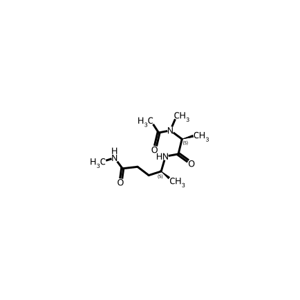 CNC(=O)CC[C@H](C)NC(=O)[C@H](C)N(C)C(C)=O